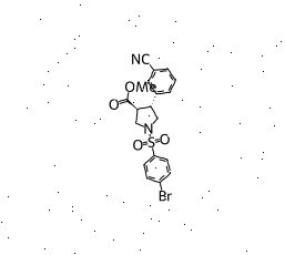 COC(=O)[C@@H]1CN(S(=O)(=O)c2ccc(Br)cc2)C[C@H]1c1cccc(C#N)c1